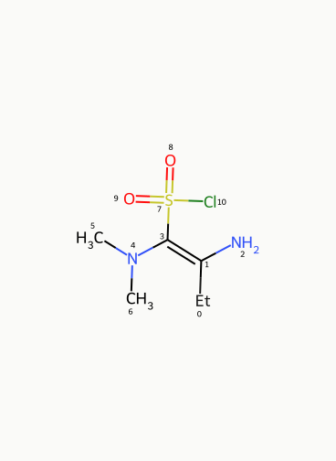 CC/C(N)=C(\N(C)C)S(=O)(=O)Cl